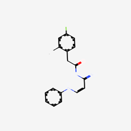 N=C(/C=C\Nc1ccccc1)NC(=O)Cc1ccc(F)cc1C(F)(F)F